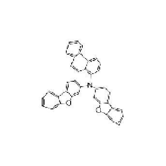 c1ccc2c(c1)ccc1c(N(c3ccc4c(c3)oc3ccccc34)c3ccc4c(c3)oc3ccccc34)cccc12